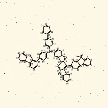 CC1(C)c2ccccc2-c2ccc(-c3c4oc5ccc(N(c6ccc(-c7ccccc7)cc6)c6ccc(-c7cccc8c7sc7ccccc78)cc6)cc5c4cc4oc5ccccc5c34)cc21